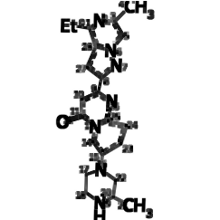 CCc1nc(C)cn2nc(-c3cc(=O)n4cc(N5CCNC(C)C5)ccc4n3)cc12